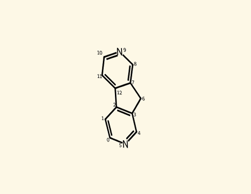 c1cc2c(cn1)Cc1cnccc1-2